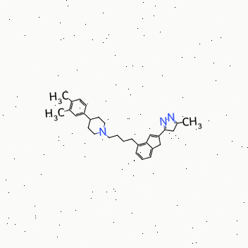 CC1=NN=C(C2=Cc3c(CCCCN4CCC(c5ccc(C)c(C)c5)CC4)cccc3C2)C1